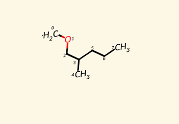 [CH2]OCC(C)CCC